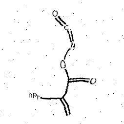 C=C(CCC)C(=O)ON=C=O